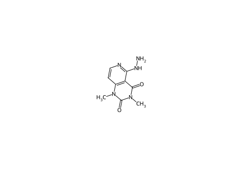 Cn1c(=O)c2c(NN)nccc2n(C)c1=O